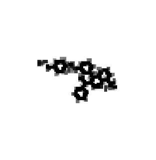 O=C(c1ccccc1)c1cnc2c(C(F)(F)F)cccc2c1-c1cccc(NCc2ccc(CO)cc2)c1